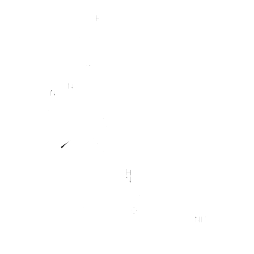 C[C@@H]1C2=C(CC[C@@H]2CC(NC(=O)c2cccc3[nH]ccc23)c2ccccc2)Cc2c1cnn2-c1ccc(F)cc1